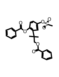 CC(C)(COC(=O)c1ccccc1)c1cc(OS(C)(=O)=O)ccc1OC(=O)c1ccccc1